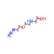 [N-]=[N+]=NCCOCCNCCO